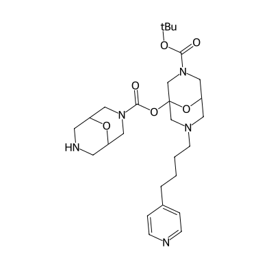 CC(C)(C)OC(=O)N1CC2CN(CCCCc3ccncc3)CC(OC(=O)N3CC4CNCC(C3)O4)(C1)O2